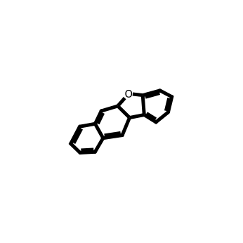 C1=c2ccccc2=CC2c3ccccc3OC12